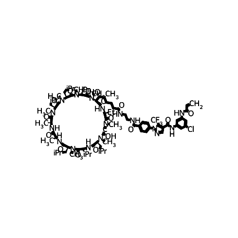 C=CC(=O)Nc1cc(Cl)cc(NC(=O)c2cnn(-c3ccc(C(=O)NCCNC(=O)CCC[C@@H](C)[C@@H](O)[C@H]4C(=O)N[C@@H](CC)C(=O)N(C)CC(O)N(C)[C@@H](CC(C)C)C(=O)N[C@@H](C(C)C)C(=O)N(C)[C@@H](CC(C)C)C(=O)N[C@@H](C)C(=O)N[C@H](C)C(=O)N(C)[C@@H](CC(C)C)C(=O)N(C)[C@@H](CC(C)C)C(=O)N(C)[C@@H](C(C)C)C(=O)N4C)cc3)c2C(F)(F)F)c1